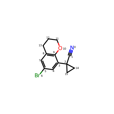 N#CC1(c2cc(Br)cc3c2OCCC3)CC1